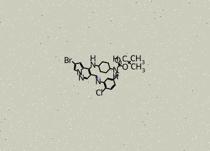 CC(C)(C)OC(=O)NC1CCC(Nc2c(/C=N/c3cc(F)ccc3Cl)cnn3cc(Br)cc23)CC1